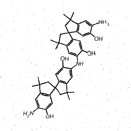 CC1(C)CC2(CC(C)(C)c3cc(Nc4cc5c(cc4O)C4(CC(C)(C)c6cc(N)c(O)cc64)CC5(C)C)c(O)cc32)c2cc(O)c(N)cc21